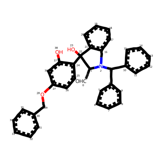 O=CC1N(C(c2ccccc2)c2ccccc2)c2ccccc2C1(O)c1ccc(OCc2ccccc2)cc1O